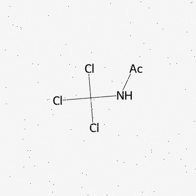 CC(=O)NC(Cl)(Cl)Cl